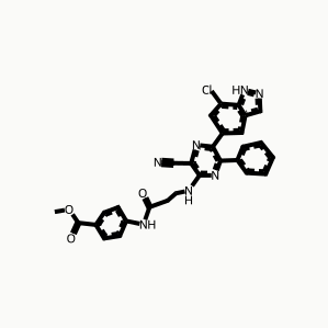 COC(=O)c1ccc(NC(=O)CCNc2nc(-c3ccccc3)c(-c3cc(Cl)c4[nH]ncc4c3)nc2C#N)cc1